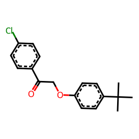 CC(C)(C)c1ccc(OCC(=O)c2ccc(Cl)cc2)cc1